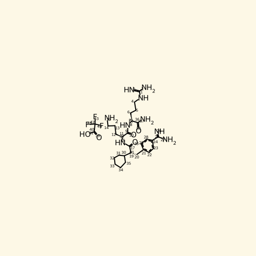 N=C(N)NCCC[C@H](NC(=O)[C@H](CCCN)NC(=O)[C@H](Cc1ccc(C(=N)N)cc1)C1CCCCC1)C(N)=O.O=C(O)C(F)(F)F